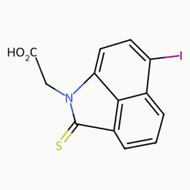 O=C(O)CN1C(=S)c2cccc3c(I)ccc1c23